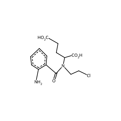 Nc1ccccc1C(=O)N(CCCl)C(CCC(=O)O)C(=O)O